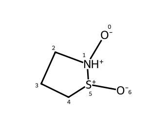 [O-][NH+]1CCC[S+]1[O-]